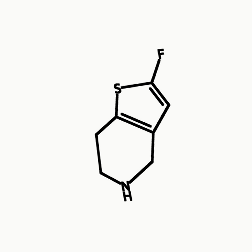 Fc1cc2c(s1)CCNC2